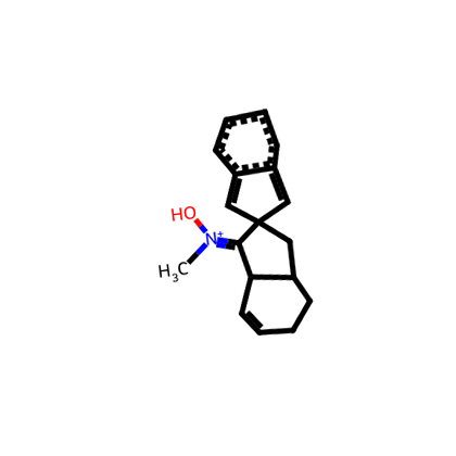 C[N+](O)=C1C2C=CCCC2CC12C=c1ccccc1=C2